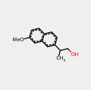 COc1ccc2ccc(C(C)CO)cc2c1